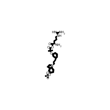 CC(C)(Oc1cccc(CCCn2ccc3cc(OS(C)(=O)=O)ccc32)c1)C(=O)OC(=O)[C@@H](N)CCCNC(=N)N